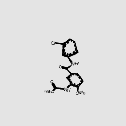 CCCCC(=O)Nc1cc(C(=O)Nc2cccc(Cl)c2)ccc1OC